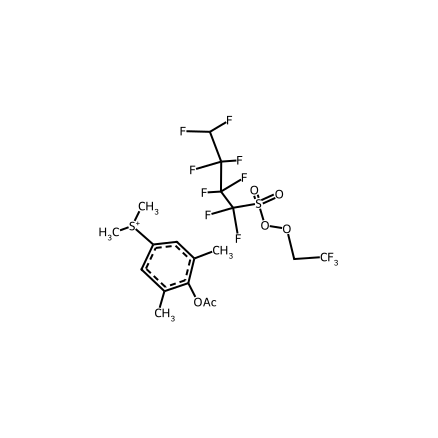 CC(=O)Oc1c(C)cc([S+](C)C)cc1C.O=S(=O)(OOCC(F)(F)F)C(F)(F)C(F)(F)C(F)(F)C(F)F